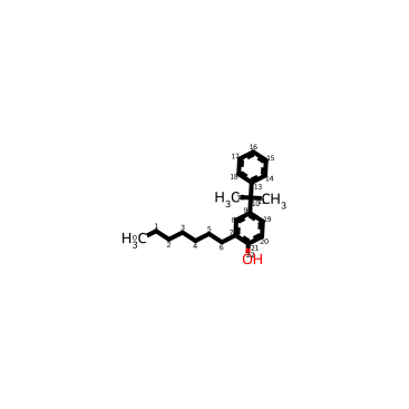 CCCCCCCc1cc(C(C)(C)c2ccccc2)ccc1O